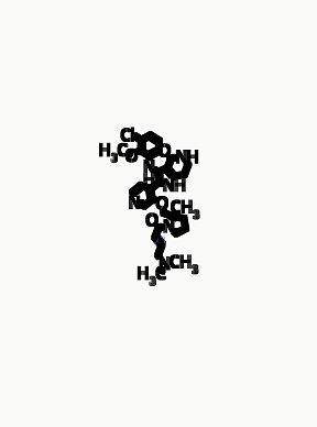 COc1c(Cl)cccc1Nc1c(-c2ccncc2OC[C@]2(C)CCCN2C(=O)/C=C/CN(C)C)[nH]c2c1C(=O)NCC2